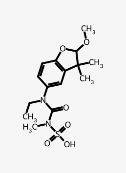 CCN(C(=O)N(C)S(=O)(=O)O)c1ccc2c(c1)C(C)(C)C(OC)O2